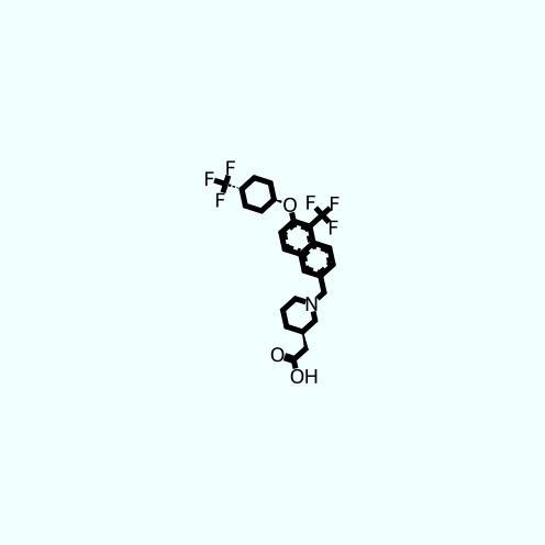 O=C(O)C[C@H]1CCCN(Cc2ccc3c(C(F)(F)F)c(O[C@H]4CC[C@@H](C(F)(F)F)CC4)ccc3c2)C1